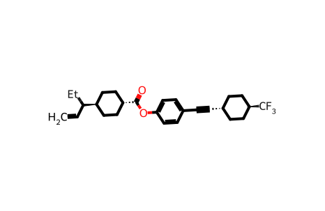 C=CC(CC)[C@H]1CC[C@H](C(=O)Oc2ccc(C#C[C@H]3CC[C@H](C(F)(F)F)CC3)cc2)CC1